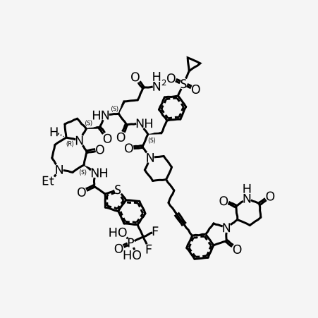 CCN1CC[C@H]2CC[C@@H](C(=O)N[C@@H](CCC(N)=O)C(=O)N[C@@H](Cc3ccc(S(=O)(=O)C4CC4)cc3)C(=O)N3CCC(CCC#Cc4cccc5c4CN(C4CCC(=O)NC4=O)C5=O)CC3)N2C(=O)[C@@H](NC(=O)c2cc3cc(C(F)(F)P(=O)(O)O)ccc3s2)C1